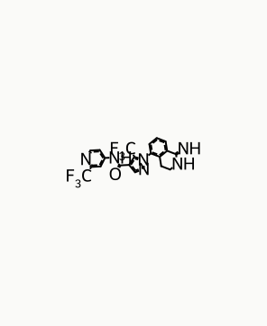 N=C1NCCc2c1cccc2-n1ncc(C(=O)Nc2ccnc(C(F)(F)F)c2)c1C(F)(F)F